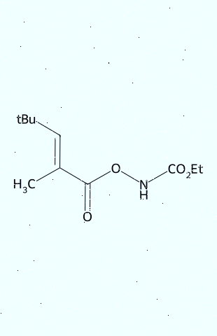 CCOC(=O)NOC(=O)C(C)=CC(C)(C)C